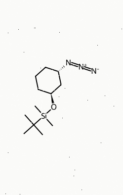 CC(C)(C)[Si](C)(C)O[C@H]1CCC[C@H](N=[N+]=[N-])C1